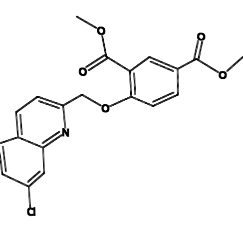 COC(=O)c1ccc(OCc2ccc3ccc(Cl)cc3n2)c(C(=O)OC)c1